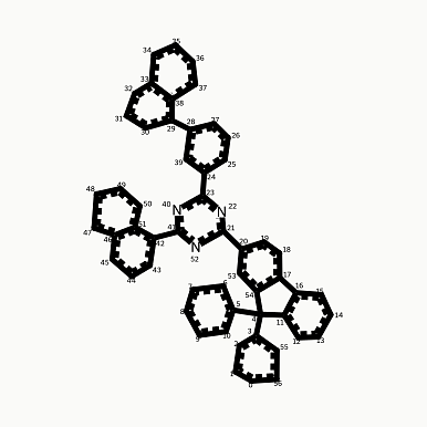 c1ccc(C2(c3ccccc3)c3ccccc3-c3ccc(-c4nc(-c5cccc(-c6cccc7ccccc67)c5)nc(-c5cccc6ccccc56)n4)cc32)cc1